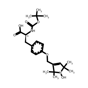 CC(C)(C)OC(=O)N[C@@H](Cc1ccc(OCC2=CC(C)(C)N(O)C2(C)C)cc1)C(=O)O